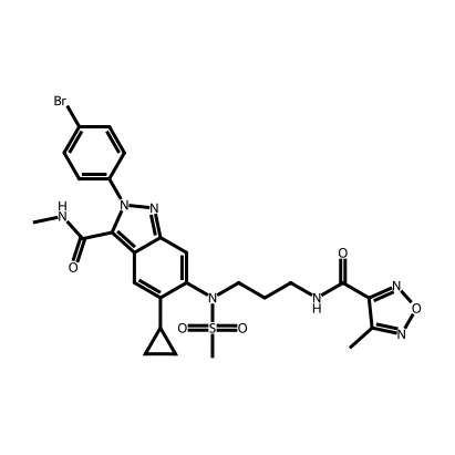 CNC(=O)c1c2cc(C3CC3)c(N(CCCNC(=O)c3nonc3C)S(C)(=O)=O)cc2nn1-c1ccc(Br)cc1